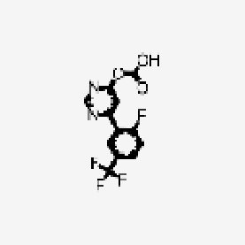 O=C(O)Oc1cc(-c2cc(C(F)(F)F)ccc2F)ncn1